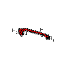 CCCCc1nc2c(N)nc3cc(C4CCN(CCOCCOCCOCCOCCOCCOCCOCCOCCNC(=O)CCCC#Cc5cnc([S+](C)[O-])nc5)CC4)sc3c2n1CC1CCOCC1